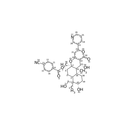 CC1(CO)C2C[C@H](OC(=O)c3ccc(C#N)cc3)[C@@]3(C)Oc4cc(-c5cccnc5)oc(=O)c4[C@H](O)C3[C@@]2(C)CC[C@@H]1O